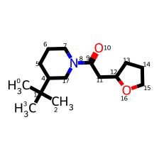 CC(C)(C)C1CCCN(C(=O)CC2CCCO2)C1